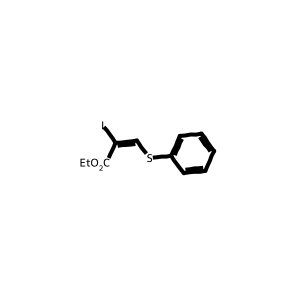 CCOC(=O)/C(I)=C\Sc1ccccc1